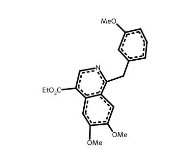 CCOC(=O)c1cnc(Cc2cccc(OC)c2)c2cc(OC)c(OC)cc12